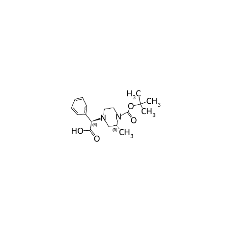 C[C@@H]1CN([C@@H](C(=O)O)c2ccccc2)CCN1C(=O)OC(C)(C)C